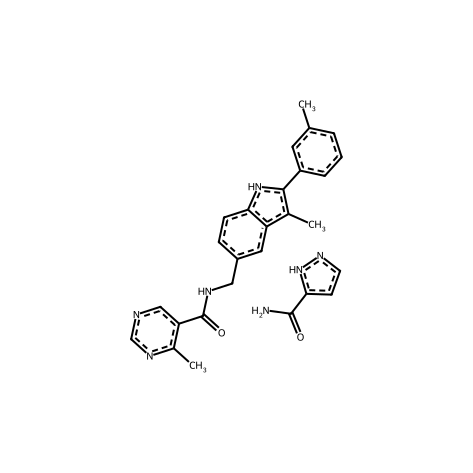 Cc1cccc(-c2[nH]c3ccc(CNC(=O)c4cncnc4C)cc3c2C)c1.NC(=O)c1ccn[nH]1